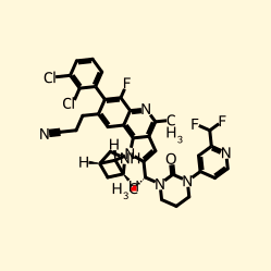 Cc1nc2c(F)c(-c3cccc(Cl)c3Cl)c(CCC#N)cc2c2c1cc([C@@H](C)N1CCCN(c3ccnc(C(F)F)c3)C1=O)n2[C@H]1[C@H]2CN[C@@H]1C2